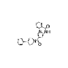 O=C(c1cc2[nH]c(=O)c3ccccc3n2c1)N1CC=C(c2ccccc2)CC1